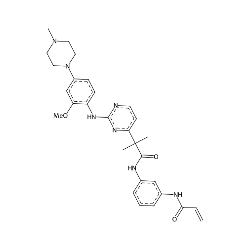 C=CC(=O)Nc1cccc(NC(=O)C(C)(C)c2ccnc(Nc3ccc(N4CCN(C)CC4)cc3OC)n2)c1